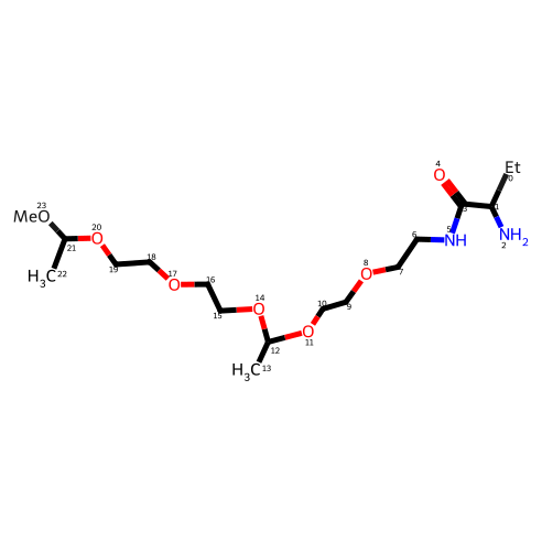 CCC(N)C(=O)NCCOCCOC(C)OCCOCCOC(C)OC